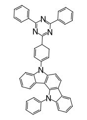 C1=CC(c2nc(-c3ccccc3)nc(-c3ccccc3)n2)CC=C1n1c2ccccc2c2c1ccc1c3ccccc3n(-c3ccccc3)c12